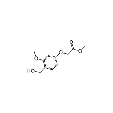 COC(=O)COc1ccc(CO)c(OC)c1